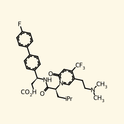 CC(C)C[C@@H](C(=O)N[C@@H](CC(=O)O)c1ccc(-c2ccc(F)cc2)cc1)n1cc(CCN(C)C)c(C(F)(F)F)cc1=O